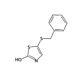 Oc1ncc(SCc2ccccc2)s1